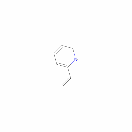 C=CC1=CC=CC[N]1